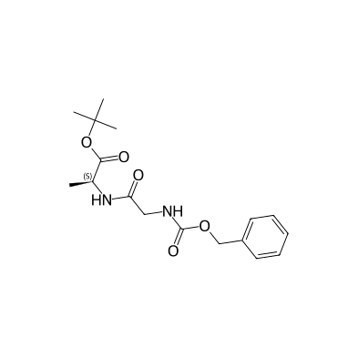 C[C@H](NC(=O)CNC(=O)OCc1ccccc1)C(=O)OC(C)(C)C